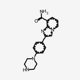 NC(=O)c1cccn2cc(-c3ccc(N4CCNCC4)cc3)nc12